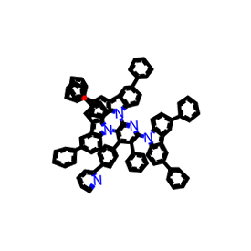 c1ccc(-c2ccc3c(c2)c2cc(-c4ccccc4)ccc2n3-c2nc(-n3c4ccc(-c5ccccc5)cc4c4cc(-c5ccccc5)ccc43)c(-n3c4ccc(-c5ccccc5)cc4c4cc(-c5ccccc5)ccc43)c(-c3ccc(-c4ccccn4)cc3)c2-c2ccccc2)cc1